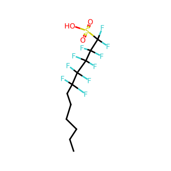 CCCCCCC(F)(F)C(F)(F)C(F)(F)C(F)(F)C(F)(F)S(=O)(=O)O